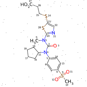 CN(C(=O)N(c1ccc(S(C)(=O)=O)cc1)C1CCCC1)c1ncc(SCCC(=O)O)s1